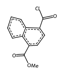 COC(=O)c1ccc(C(=O)Cl)c2ccccc12